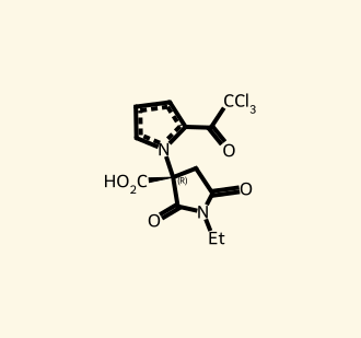 CCN1C(=O)C[C@@](C(=O)O)(n2cccc2C(=O)C(Cl)(Cl)Cl)C1=O